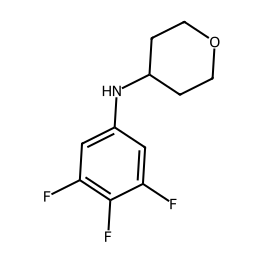 Fc1cc(NC2CCOCC2)cc(F)c1F